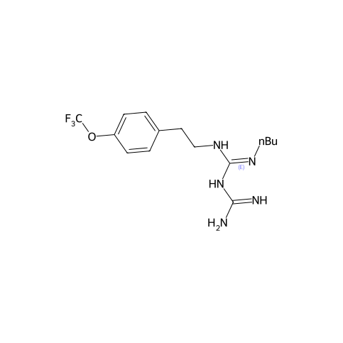 CCCC/N=C(\NCCc1ccc(OC(F)(F)F)cc1)NC(=N)N